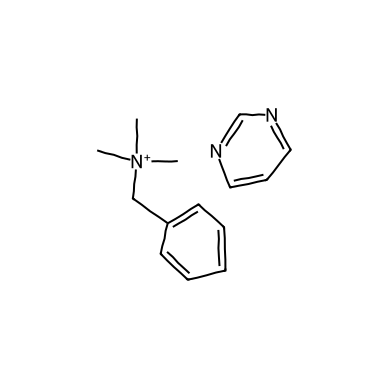 C[N+](C)(C)Cc1ccccc1.c1cncnc1